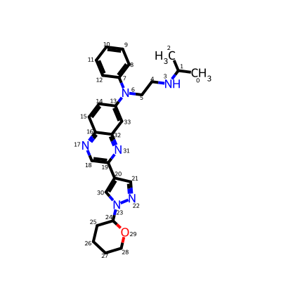 CC(C)NCCN(c1ccccc1)c1ccc2ncc(-c3cnn(C4CCCCO4)c3)nc2c1